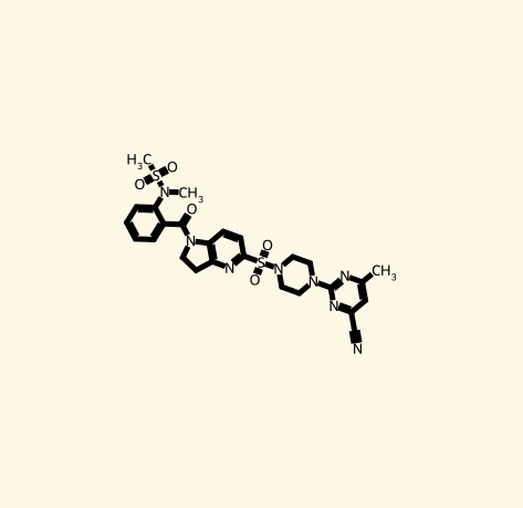 Cc1cc(C#N)nc(N2CCN(S(=O)(=O)c3ccc4c(n3)CCN4C(=O)c3ccccc3N(C)S(C)(=O)=O)CC2)n1